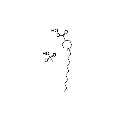 CCCCCCCCCCN1CCC(C(=O)OO)CC1.CS(=O)(=O)O